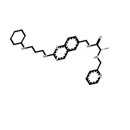 C[C@H](NCc1ccccn1)C(=O)NCc1ccc2nc(NCCCNC3CCCCC3)ncc2c1